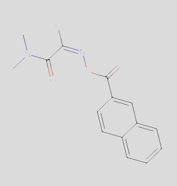 CN(C)C(=O)/C(Cl)=N\OC(=O)c1ccc2ccccc2c1